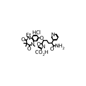 CCN1C(=O)C(C)(C)C(=O)N(C)c2cc(OC(CCC(C(N)=O)c3cccnc3)c3nc(C(=O)O)co3)ccc21.Cl